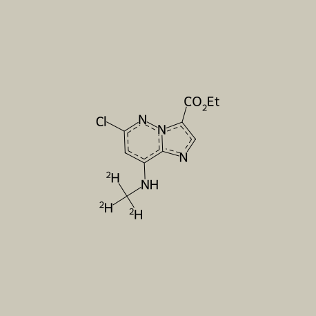 [2H]C([2H])([2H])Nc1cc(Cl)nn2c(C(=O)OCC)cnc12